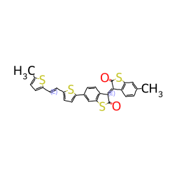 Cc1ccc2c(c1)SC(=O)/C2=C1/C(=O)Sc2cc(-c3ccc(/C=C/c4ccc(C)s4)s3)ccc21